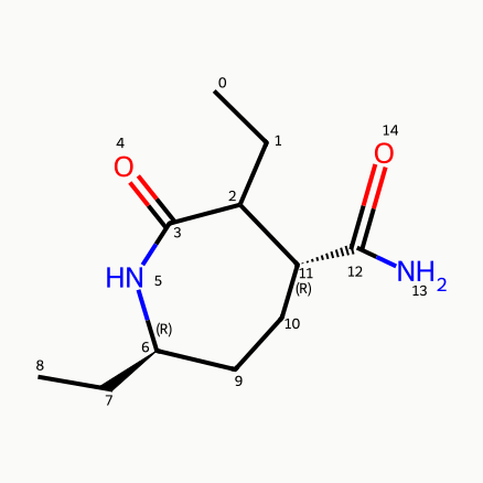 CCC1C(=O)N[C@H](CC)CC[C@H]1C(N)=O